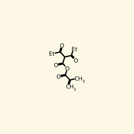 C=C(C)C(=O)OC(=O)C(C(=O)CC)C(=O)CC